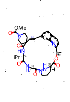 COC(=O)N1CCC2(/C=C/c3ccc4ccc(nc4c3)[C@@H](C)OC(=O)[C@@H]3CCCN(N3)C(=O)[C@H](C)NC(=O)[C@H](C(C)C)NC2=O)CC1